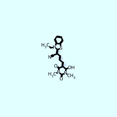 CCN1/C(=C(C#N)/C=C/C=C2\C(=O)N(C)C(=O)N(C)C2O)Sc2ccccc21